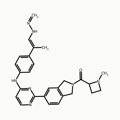 C=NN/C=C(\C)c1ccc(Nc2ccnc(-c3ccc4c(c3)CN(C(=O)C3CCN3C)C4)n2)cc1